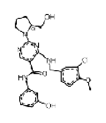 COc1ccc(CNc2nc(N3CCC[C@H]3CO)ncc2C(=O)Nc2cccc(O)c2)cc1Cl